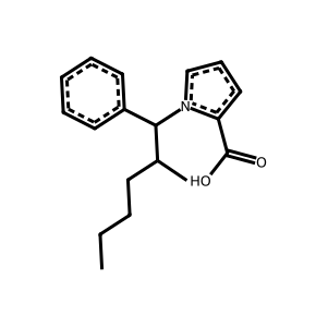 CCCCC(C)C(c1ccccc1)n1cccc1C(=O)O